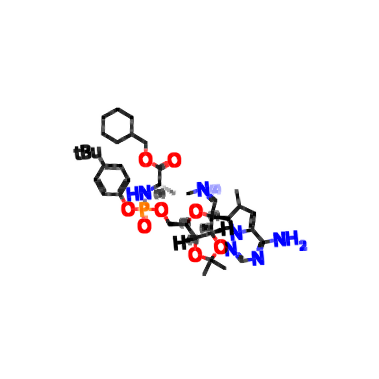 C/N=C\[C@@]1(C2C(C)C=C3C(N)=NC=NN32)O[C@H](COP(=O)(N[C@@H](C)C(=O)OCC2CCCCC2)Oc2ccc(C(C)(C)C)cc2)[C@H]2OC(C)(C)O[C@H]21